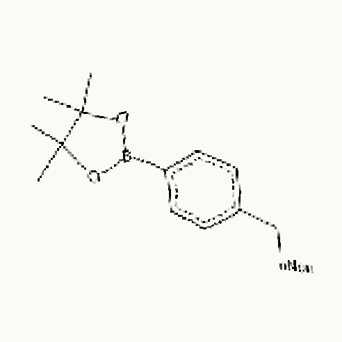 CCCCCCCCCCc1ccc(B2OC(C)(C)C(C)(C)O2)cc1